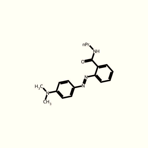 CCCNC(=O)c1ccccc1/N=N/c1ccc(N(C)C)cc1